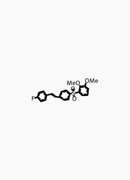 COc1cccc(S(=O)(=O)c2ccc(C=Cc3ccc(F)cc3)cc2)c1OC